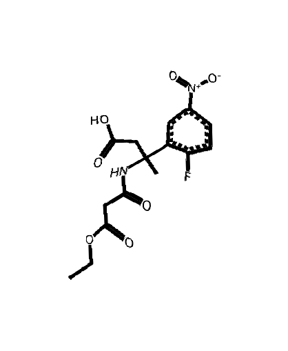 CCOC(=O)CC(=O)NC(C)(CC(=O)O)c1cc([N+](=O)[O-])ccc1F